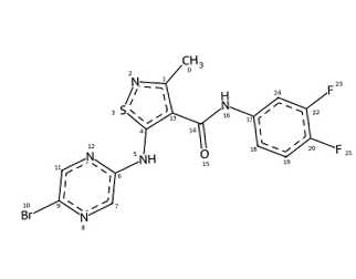 Cc1nsc(Nc2cnc(Br)cn2)c1C(=O)Nc1ccc(F)c(F)c1